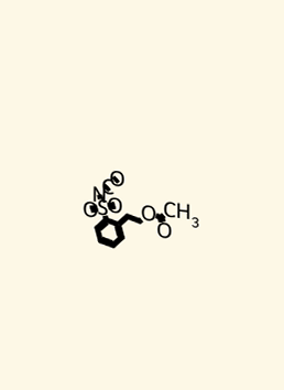 CC(=O)OCCc1ccccc1S(=O)(=O)N=C=O